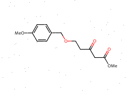 COC(=O)CC(=O)CCOCc1ccc(OC)cc1